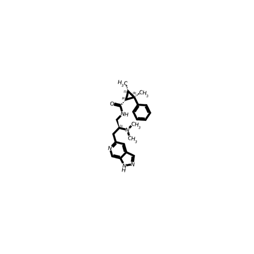 C[C@H]1[C@@H](C(=O)NC[C@H](Cc2cc3cn[nH]c3cn2)N(C)C)[C@]1(C)c1ccccc1